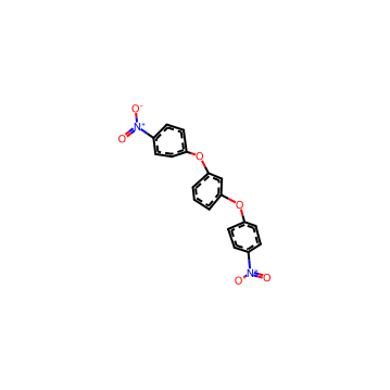 O=[N+]([O-])c1ccc(Oc2cccc(Oc3ccc([N+](=O)[O-])cc3)c2)cc1